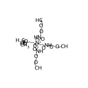 C#CCOCCOCCNC(=O)CCC(CCC(=O)NCCOCCOCC#C)(CCC(=O)NCCOCCOCC#C)NC(=O)CCCCOP(C)(=O)OC